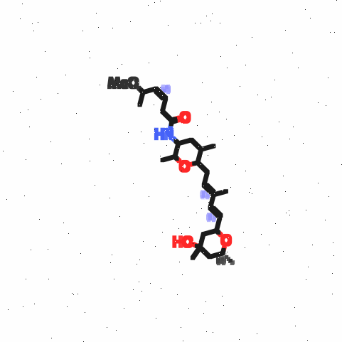 COC(C)/C=C\CC(=O)NC1CC(C)C(C/C=C(C)/C=C/C2CC(C)(O)C[C@@H](C)O2)OC1C